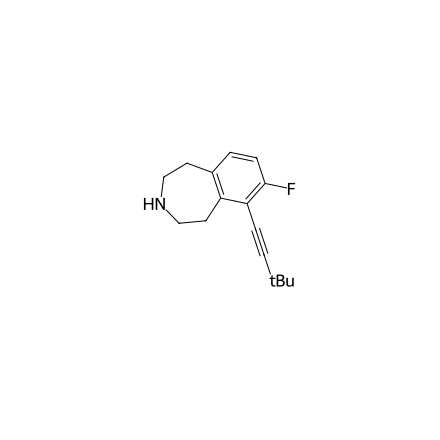 CC(C)(C)C#Cc1c(F)ccc2c1CCNCC2